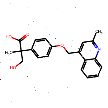 Cc1cc(COc2ccc(C(C)(CO)C(=O)O)cc2)c2ccccc2n1